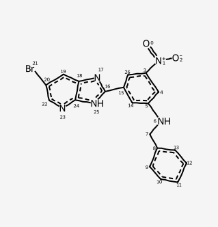 O=[N+]([O-])c1cc(NCc2ccccc2)cc(-c2nc3cc(Br)cnc3[nH]2)c1